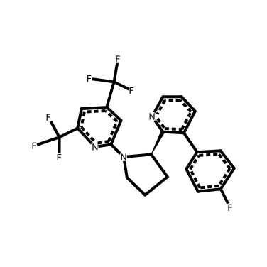 Fc1ccc(-c2cccnc2[C@H]2CCCN2c2cc(C(F)(F)F)cc(C(F)(F)F)n2)cc1